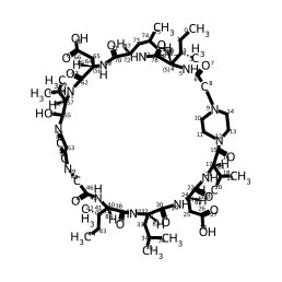 CC[C@H](C)[C@@H]1NC(=O)CN2CCN(CC2)C(=O)[C@H](C(C)C)NC(=O)[C@H](CC(=O)O)NC(=O)[C@H](CC(C)C)NC(=O)[C@H]([C@@H](C)CC)NC(=O)CN2CCN(CC2)C(O)[C@H](C(C)C)NC(=O)[C@H](CC(=O)O)NC(=O)[C@H](CC(C)C)NC1=O